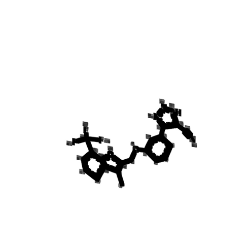 Cc1c(COc2cccc(-c3nn[nH]c3C#N)c2)oc2c(C(F)(F)F)cccc12